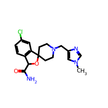 Cn1cnc(CN2CCC3(CC2)OC(C(N)=O)c2ccc(Cl)cc23)c1